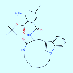 CC(C)C[C@@H](C(=O)NC1Cc2cn(c3ccccc23)CCCCCCNC1=O)C(CN)C(=O)OC(C)(C)C